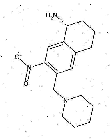 N[C@@H]1CCCc2cc(CN3CCCCC3)c([N+](=O)[O-])cc21